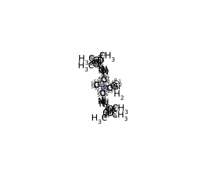 C1CC[SiH2]OC1.CCO[Si](CCn1cc(-c2ccc(/C(=C(\c3ccccc3)c3ccc(-c4cn(CC[Si](OCC)(OCC)OCC)nn4)cc3)c3ccccc3)cc2)nn1)(OCC)OCC